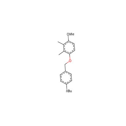 CCCCc1ccc(COc2ccc(OC)c(C)c2C)cc1